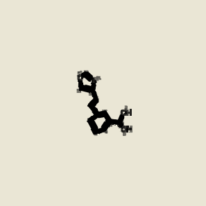 OC(O)c1cccc(/C=C/c2cocn2)c1